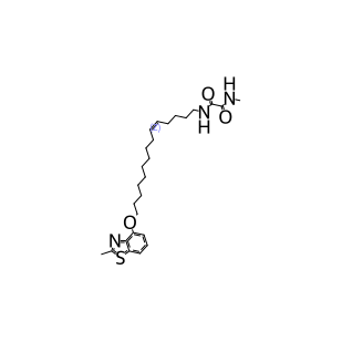 CNC(=O)C(=O)NCCCC/C=C\CCCCCCCCCOc1cccc2sc(C)nc12